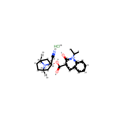 CC(C)n1c(=O)c(C(=O)O[C@H]2C[C@H]3CC[C@@H](C2)N3CC#N)cc2ccccc21.Cl